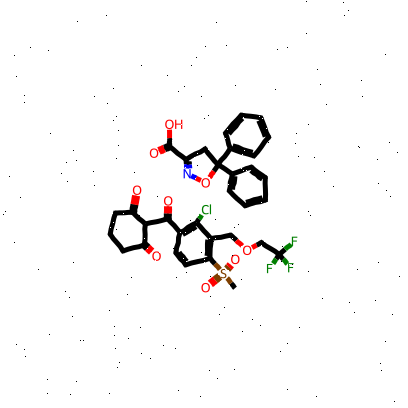 CS(=O)(=O)c1ccc(C(=O)C2C(=O)CCCC2=O)c(Cl)c1COCC(F)(F)F.O=C(O)C1=NOC(c2ccccc2)(c2ccccc2)C1